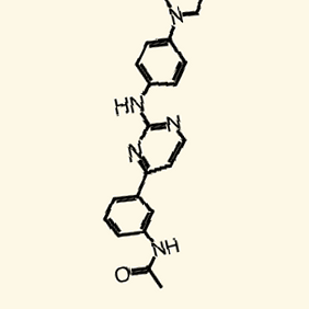 CC(=O)Nc1cccc(-c2ccnc(Nc3ccc(N4CCOCC4)cc3)n2)c1